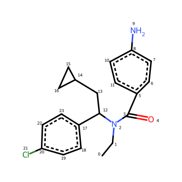 CCN(C(=O)c1ccc(N)cc1)C(CC1CC1)c1ccc(Cl)cc1